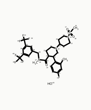 Cc1cc(F)ccc1C1CN(C2CCN(S(C)(=O)=O)CC2)CCC1C(=O)N(C)Cc1cc(C(F)(F)F)cc(C(F)(F)F)c1.Cl